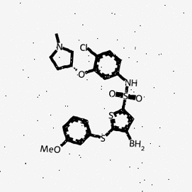 Bc1cc(S(=O)(=O)Nc2ccc(Cl)c(O[C@@H]3CCN(C)C3)c2)sc1Sc1cccc(OC)c1